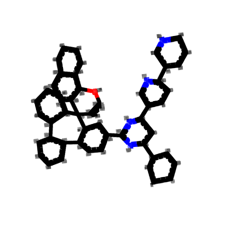 c1ccc(-c2cc(-c3ccc(-c4cccnc4)nc3)nc(-c3ccc4c(c3)C3(c5ccccc5Oc5c3ccc3ccccc53)c3ccccc3-c3ccccc3-4)n2)cc1